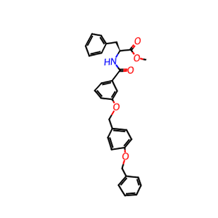 COC(=O)[C@H](Cc1ccccc1)NC(=O)c1cccc(OCc2ccc(OCc3ccccc3)cc2)c1